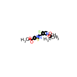 CCOC(=O)c1ccc2c(c1)sc1nc(-c3cc4c(cc3F)CCN(C(=O)OC(C)(C)C)C4)cn12